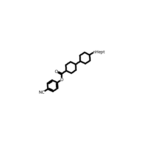 CCCCCCCC1CCC(C2CCC(C(=O)Oc3ccc(C#N)cc3)CC2)CC1